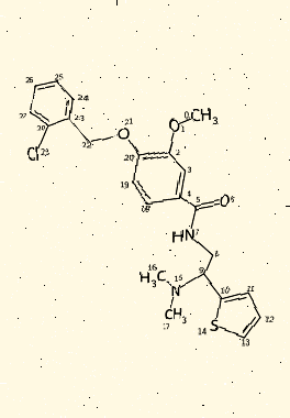 COc1cc(C(=O)NCC(c2cccs2)N(C)C)ccc1OCc1ccccc1Cl